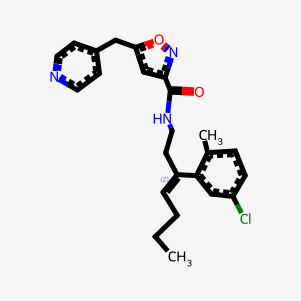 CCC/C=C(/CCNC(=O)c1cc(Cc2ccncc2)on1)c1cc(Cl)ccc1C